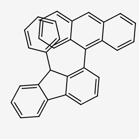 c1ccc(C2c3ccccc3-c3cccc(-c4c5ccccc5cc5ccccc45)c32)cc1